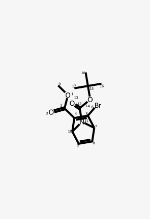 COC(=O)C1=C(Br)C2C=CC1N2C(=O)OC(C)(C)C